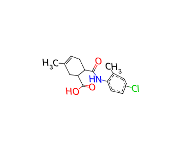 CC1=CCC(C(=O)Nc2ccc(Cl)cc2C)C(C(=O)O)C1